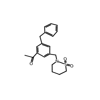 CC(=O)c1cc(Cc2ccccc2)cc(CN2CCCCS2(=O)=O)c1